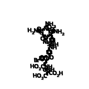 NC(=O)CN1CCN(CC(N)=O)CCN(CC(N)=O)C(Cc2ccc(NC(=S)NCC3CCC(C(=O)N(CCCC[C@@H](NC(=O)N[C@H](CCC(=O)O)C(=O)O)C(=O)O)Cc4ccc(Br)cc4)CC3)cc2)CN(CC(N)=O)CC1